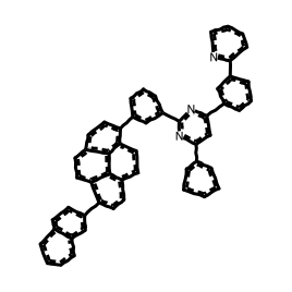 c1ccc(-c2cc(-c3cccc(-c4ccccn4)c3)nc(-c3cccc(-c4ccc5ccc6c(-c7ccc8ccccc8c7)ccc7ccc4c5c76)c3)n2)cc1